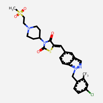 CS(=O)(=O)CCN1CCC(N2C(=O)S/C(=C\c3ccc4c(cnn4Cc4ccc(Cl)cc4C(F)(F)F)c3)C2=O)CC1